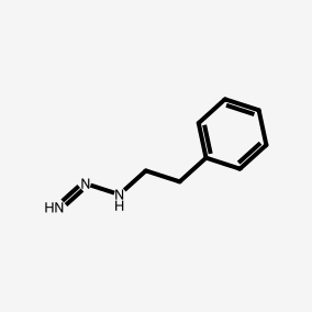 N=NNCCc1ccccc1